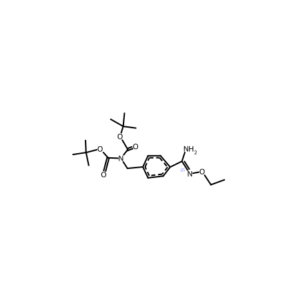 CCO/N=C(\N)c1ccc(CN(C(=O)OC(C)(C)C)C(=O)OC(C)(C)C)cc1